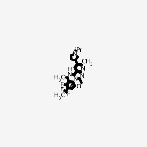 COCc1nc(N[C@H](C)c2cccc(C(C)(F)F)c2F)c2cc(C3CCN(C(C)C)C3)c(C)nc2n1